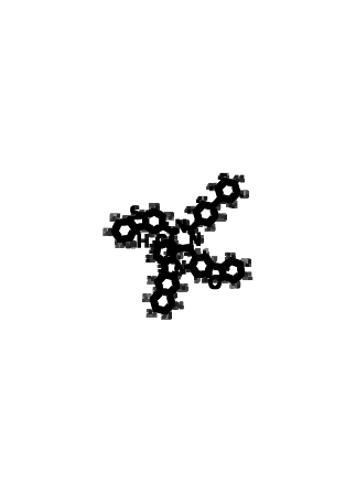 CC12CC1=C(c1cc3c(cc1-n1c4ccccc4c4cc5ccccc5cc41)oc1ccccc13)N=C(c1ccc(-c3ccccc3)cc1)N=C2c1ccc2sc3ccccc3c2c1